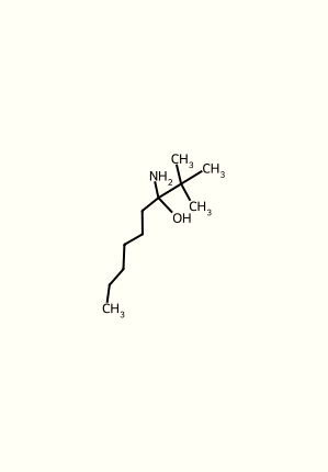 CCCCCCC(N)(O)C(C)(C)C